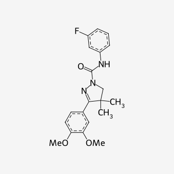 COc1ccc(C2=NN(C(=O)Nc3cccc(F)c3)CC2(C)C)cc1OC